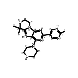 Cc1ncc(-c2nc(N3CCOCC3)c3nc4n(c3n2)CCOC4(C)C)cn1